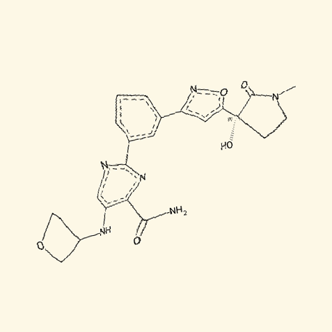 CN1CC[C@@](O)(c2cc(-c3cccc(-c4ncc(NC5COC5)c(C(N)=O)n4)c3)no2)C1=O